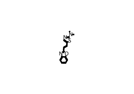 CN(C)c1ncc(C=Cc2nc3ccccc3o2)s1